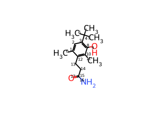 Cc1cc(C(C)(C)C)c(O)c(C)c1CCC(N)=O